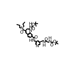 CCCN(CCC)C(=O)C1=Cc2ccc(C(=O)Nc3cncc(CNC(=O)CNC(=O)OC(C)(C)C)c3)cc2N=C(NC(=O)OC(C)(C)C)C1